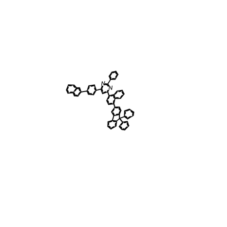 c1ccc(-c2nc(-c3ccc(-c4ccc5ccccc5c4)cc3)cc(-c3ccc(-c4ccc5c(c4)-c4ccccc4C5(c4ccccc4)c4ccccc4)c4ccccc34)n2)cc1